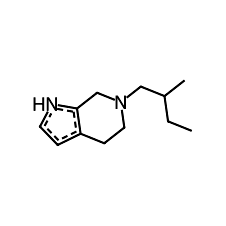 CCC(C)CN1CCc2cc[nH]c2C1